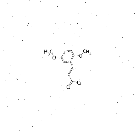 COc1ccc(OC)c(C=CC(=O)Cl)c1